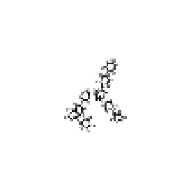 c1ccc(-c2ccc(-c3cc(-c4ccc(-c5ccccc5)cc4)nc(-c4cccc(-c5cc6c7c(cccc7c5)-c5ccccc5-6)c4)n3)cc2)cc1